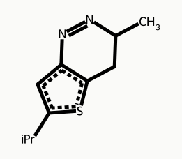 CC1Cc2sc(C(C)C)cc2N=N1